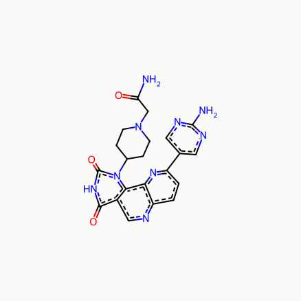 NC(=O)CN1CCC(n2c(=O)[nH]c(=O)c3cnc4ccc(-c5cnc(N)nc5)nc4c32)CC1